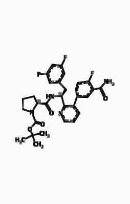 CC(C)(C)OC(=O)N1CCC[C@H]1C(=O)N[C@@H](Cc1cc(F)cc(F)c1)c1ncccc1-c1ccc(F)c(C(N)=O)c1